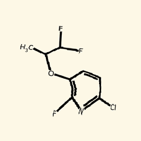 CC(Oc1ccc(Cl)nc1F)C(F)F